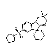 CC1(C)CN=C2N(C1)c1ccc(S(=O)(=O)N3CCCC3)cc1C21OCCCO1